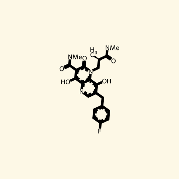 CNC(=O)c1c(O)c2ncc(Cc3ccc(F)cc3)c(O)c2n(C[C@@H](C)C(=O)NC)c1=O